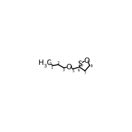 CCCCOCC1CCOS1